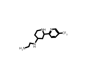 NCCNC1CCNC(c2ccc(C(F)(F)F)cn2)C1